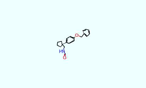 O=CNCC1(c2ccc(OCc3ccccc3)cc2)CCCC1